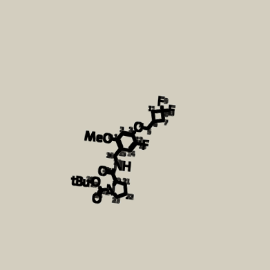 COc1cc(OCC2CC(F)(F)C2)c(F)cc1CNC(=O)C1CCCN1C(=O)OC(C)(C)C